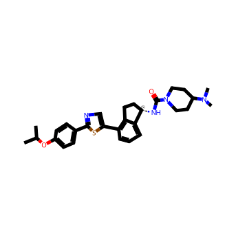 CC(C)Oc1ccc(-c2ncc(-c3cccc4c3CC[C@@H]4NC(=O)N3CCC(N(C)C)CC3)s2)cc1